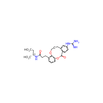 N=C(N)Nc1ccc2c(c1)CCCOc1c(CCC(=O)N[C@@H](CC(=O)O)C(=O)O)cccc1OC2=O